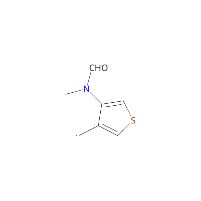 [CH2]c1cscc1N(C)C=O